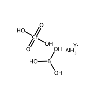 OB(O)O.[AlH3].[O]=[Cr](=[O])([OH])[OH].[Y]